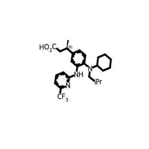 CC(C)CN(c1ccc([C@H](C)CC(=O)O)cc1Nc1cccc(C(F)(F)F)n1)C1CCCCC1